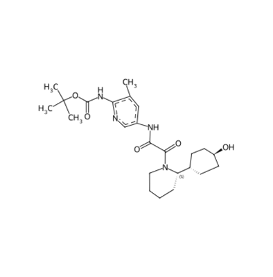 Cc1cc(NC(=O)C(=O)N2CCCC[C@H]2[C@H]2CC[C@H](O)CC2)cnc1NC(=O)OC(C)(C)C